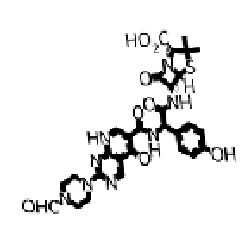 CC1(C)S[C@@H]2[C@H](NC(=O)C(NC(=O)c3c[nH]c4nc(N5CCN(C=O)CC5)ncc4c3=O)c3ccc(O)cc3)C(=O)N2[C@H]1C(=O)O